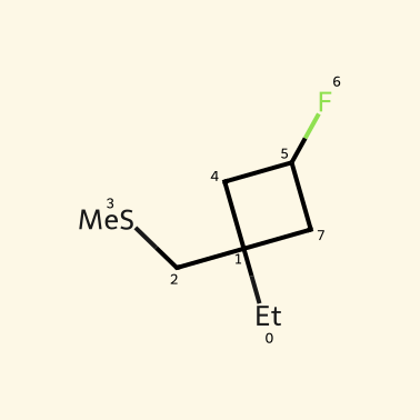 CCC1(CSC)CC(F)C1